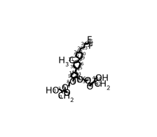 C=C(CO)C(=O)OCCOc1ccc(-c2ccc(C3CCC(CCC=C(F)F)CC3)c(C)c2)cc1OCCOC(=O)C(=C)CO